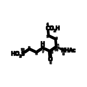 CC(=O)N[C@@H](CCC(=O)O)C(=O)NCCS(=O)(=O)O